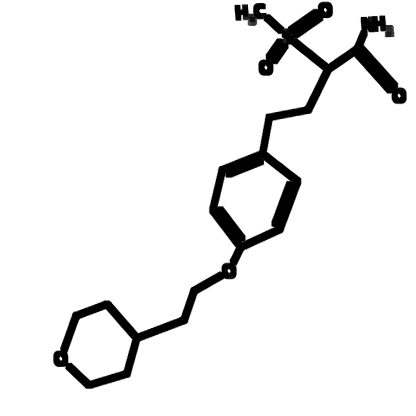 CS(=O)(=O)C(CCc1ccc(OCCC2CCOCC2)cc1)C(N)=O